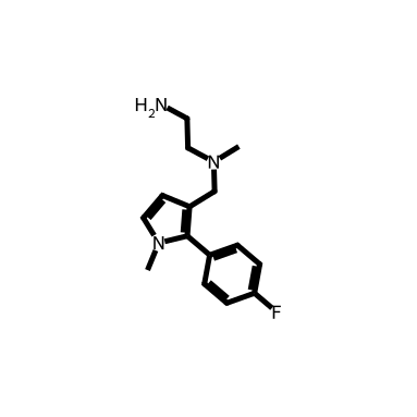 CN(CCN)Cc1ccn(C)c1-c1ccc(F)cc1